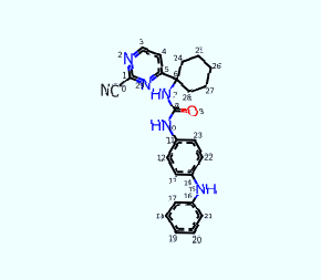 N#Cc1nccc(C2(NC(=O)Nc3ccc(Nc4ccccc4)cc3)CCCCC2)n1